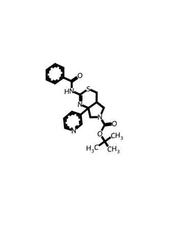 CC(C)(C)OC(=O)N1CC2CSC(NC(=O)c3ccccc3)=NC2(c2cccnc2)C1